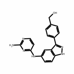 Nc1nccc(Nc2ccc3[nH]nc(-c4ccc(CO)cc4)c3c2)n1